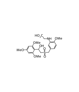 COc1cc(OC)c(C(O)CS(=O)(=O)Cc2ccc(OC)c(NCC(=O)O)c2)c(OC)c1